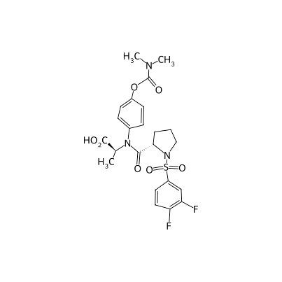 C[C@@H](C(=O)O)N(C(=O)[C@@H]1CCCN1S(=O)(=O)c1ccc(F)c(F)c1)c1ccc(OC(=O)N(C)C)cc1